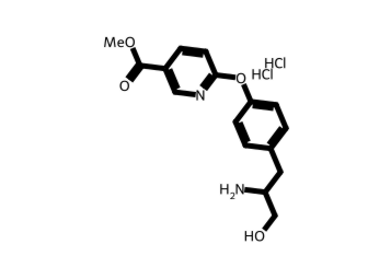 COC(=O)c1ccc(Oc2ccc(CC(N)CO)cc2)nc1.Cl.Cl